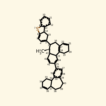 C[C@H]1C(C2=CC=C3Sc4ccccc4C3C2)CC2=C(CCC=C2)C2C=C(c3ccc4c(c3)C3CCC=CC3CCC4)C=CC21